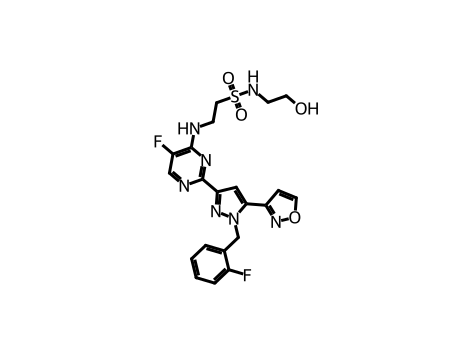 O=S(=O)(CCNc1nc(-c2cc(-c3ccon3)n(Cc3ccccc3F)n2)ncc1F)NCCO